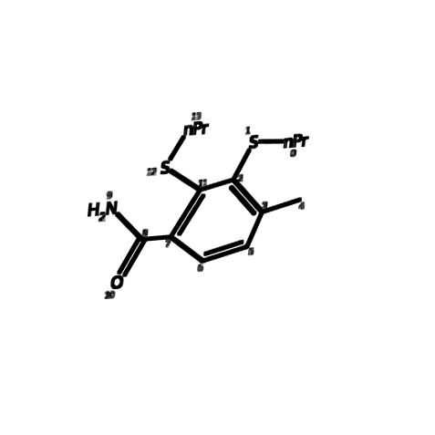 CCCSc1c(C)ccc(C(N)=O)c1SCCC